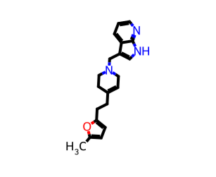 Cc1ccc(CCC2=CCN(Cc3c[nH]c4ncccc34)CC2)o1